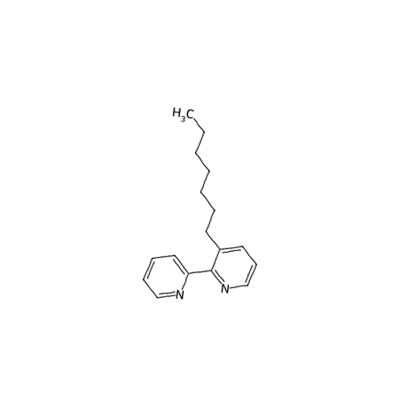 CCCCCCCc1cccnc1-c1ccccn1